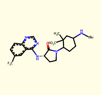 CC(C)(C)NC1CCC(N2CC[C@H](Nc3ncnc4ccc(C(F)(F)F)cc34)C2=O)C(C)(C(=O)O)C1